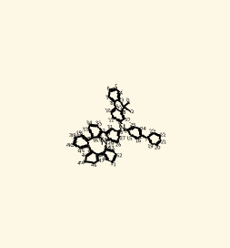 CC1(C)c2ccccc2-c2ccc(N(c3ccc(-c4ccccc4)cc3)c3ccc4c(c3)c3cccc5c6ccccc6c6ccccc6c6ccccc6n4c53)cc21